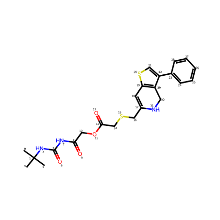 CC(C)(C)NC(=O)NC(=O)COC(=O)CSCC1=Cc2scc(-c3ccccc3)c2CN1